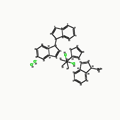 C1=CC(C2C=Cc3ccccc32)c2ccccc21.[CH3][Zr]([CH3])([CH3])([Cl])([Cl])[C]1=CC=CC1.[Cl-].[Cl-].[Zr+2][CH]1C=Cc2ccccc21